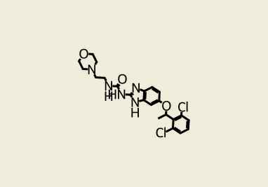 CC(Oc1ccc2nc(NC(=O)NCCN3CCOCC3)[nH]c2c1)c1c(Cl)cccc1Cl